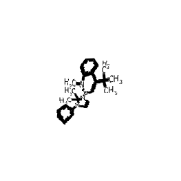 CN1B(N2C=CN(c3ccccc3)C2(C)C)C=C(C(C)(C)C)c2ccccc21